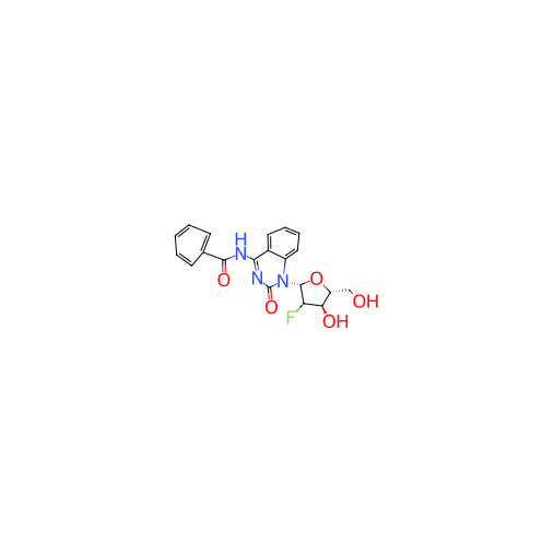 O=C(Nc1nc(=O)n([C@@H]2O[C@H](CO)[C@@H](O)[C@H]2F)c2ccccc12)c1ccccc1